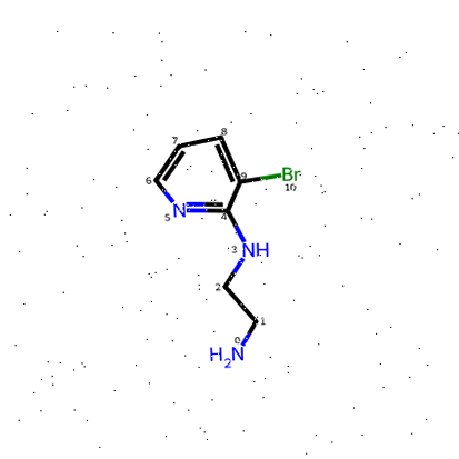 NCCNc1ncccc1Br